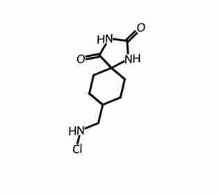 O=C1NC(=O)C2(CCC(CNCl)CC2)N1